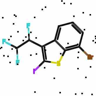 FC(F)C(F)c1c(I)sc2c(Br)cccc12